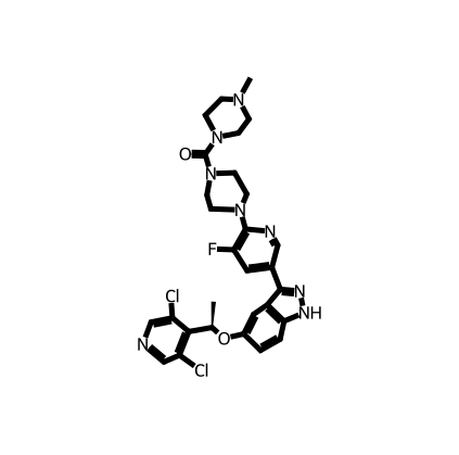 C[C@@H](Oc1ccc2[nH]nc(-c3cnc(N4CCN(C(=O)N5CCN(C)CC5)CC4)c(F)c3)c2c1)c1c(Cl)cncc1Cl